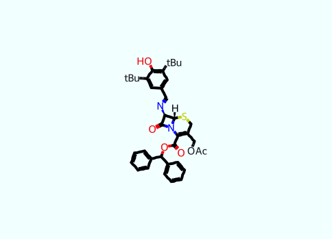 CC(=O)OCC1=C(C(=O)OC(c2ccccc2)c2ccccc2)N2C(=O)[C@@H](N=Cc3cc(C(C)(C)C)c(O)c(C(C)(C)C)c3)[C@@H]2SC1